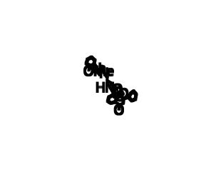 COc1ccccc1N1CCN(CCCNC(=O)c2cccc3c2S(=O)(=O)C(c2ccccc2)=CC3=O)CC1